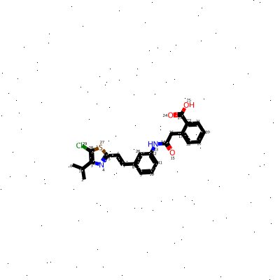 CC(C)c1nc(/C=C/c2cccc(NC(=O)Cc3ccccc3C(=O)O)c2)sc1Cl